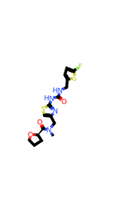 CN(Cc1csc(NC(=O)NCc2ccc(F)s2)n1)C(=O)[C@H]1CCCO1